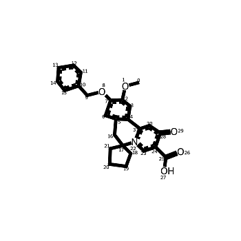 COc1cc2c(cc1OCc1ccccc1)CC1(CCCC1)n1cc(C(=O)O)c(=O)cc1-2